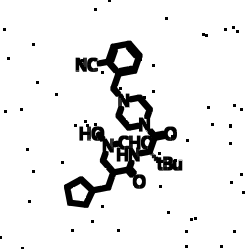 CC(C)(C)[C@H](NC(=O)C(CC1CCCC1)CN(O)C=O)C(=O)N1CCN(Cc2ccccc2C#N)CC1